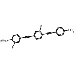 CCCCCCc1ccc(C#Cc2ccc(C#Cc3ccc(C)cc3)c(F)c2)cc1F